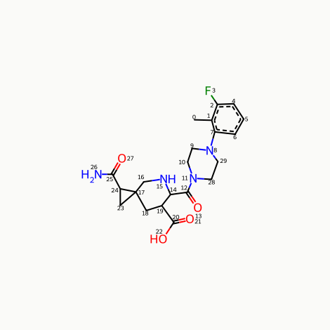 Cc1c(F)cccc1N1CCN(C(=O)C2NCC3(CC2C(=O)O)CC3C(N)=O)CC1